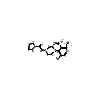 Nc1ncc(Br)c(N2CCN(CC(=O)N3CCCC3)CC2)c1[N+](=O)[O-]